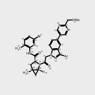 COCc1ncc(-c2ccc3c(c2)c(C(C)=O)nn3CC(=O)N2[C@H](C(=O)Nc3nc(Br)ccc3C)C[C@@]3(C)C[C@@H]23)cn1